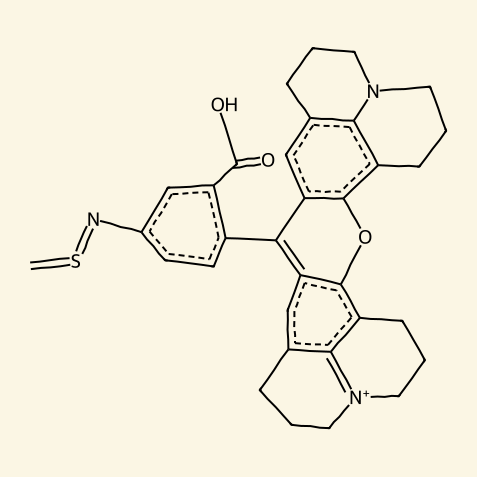 C=S=Nc1ccc(C2=c3cc4c5c(c3Oc3c2cc2c6c3CCCN6CCC2)CCC[N+]=5CCC4)c(C(=O)O)c1